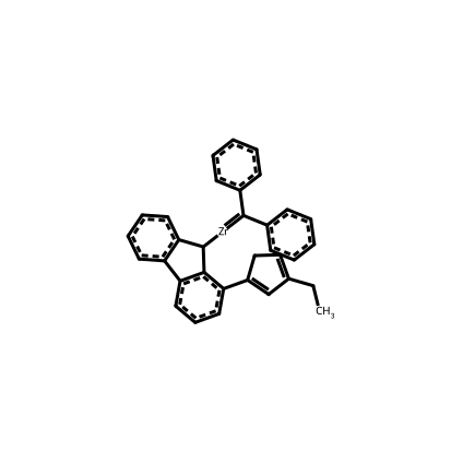 CCC1=CCC(c2cccc3c2[CH]([Zr]=[C](c2ccccc2)c2ccccc2)c2ccccc2-3)=C1